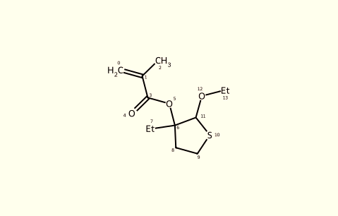 C=C(C)C(=O)OC1(CC)CCSC1OCC